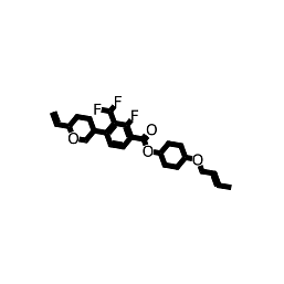 C=CC1CCC(c2ccc(C(=O)OC3CCC(OC/C=C/C)CC3)c(F)c2C(F)F)CO1